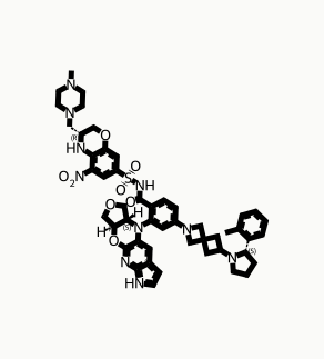 Cc1ccccc1[C@@H]1CCCN1C1CC2(C1)CN(c1ccc(C(=O)NS(=O)(=O)c3cc4c(c([N+](=O)[O-])c3)N[C@H](CN3CCN(C)CC3)CO4)c(N3c4cc5cc[nH]c5nc4O[C@H]4COC[C@@H]43)c1)C2